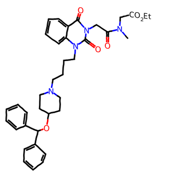 CCOC(=O)CN(C)C(=O)Cn1c(=O)c2ccccc2n(CCCCN2CCC(OC(c3ccccc3)c3ccccc3)CC2)c1=O